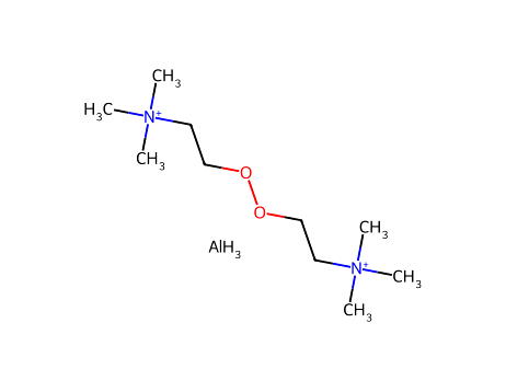 C[N+](C)(C)CCOOCC[N+](C)(C)C.[AlH3]